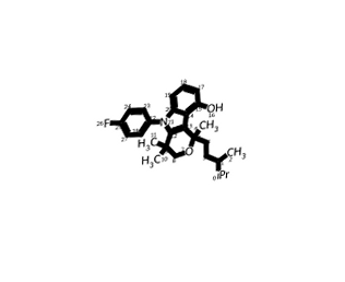 CC(C)C(C)CCC1(C)OCC(C)(C)c2c1c1c(O)cccc1n2-c1ccc(F)cc1